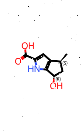 C[C@H]1C[C@@H](O)c2[nH]c(C(=O)O)cc21